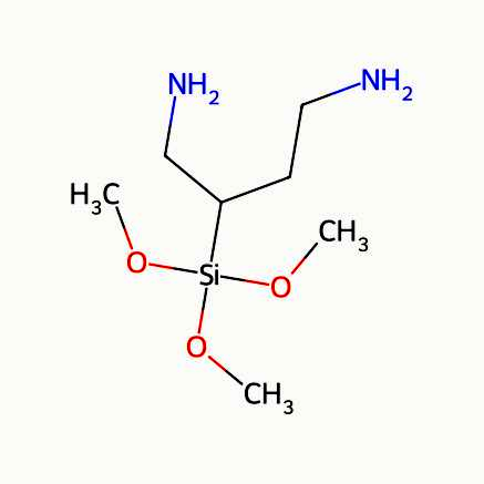 CO[Si](OC)(OC)C(CN)CCN